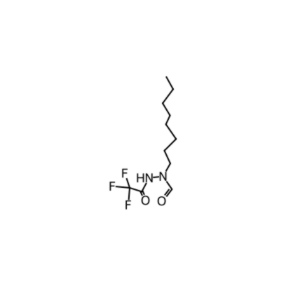 CCCCCCCCN(C=O)NC(=O)C(F)(F)F